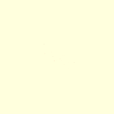 CC1CCC(C(C)(C)OC(=O)C2(CC(C)(C)C)CC2(C)C)CC1